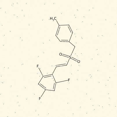 Cc1ccc(CS(=O)(=O)C=Cc2c(F)cc(F)cc2F)cc1